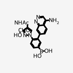 CC(=O)Nc1cnn(-c2ccc(B(O)O)cc2-c2ccc3c(N)cnnc3c2)c1.O=CO